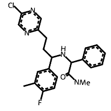 CNC(=O)C(NC(CCc1cnc(Cl)cn1)c1ccc(F)c(C)c1)c1ccccc1